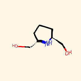 OC[C@@H]1CCC[C@@H](CO)N1